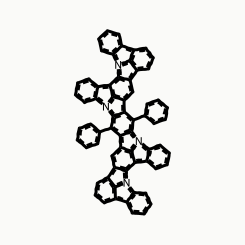 c1ccc(-c2c3c4cc5c6cccc7c8ccccc8n(c76)c5c5c6ccccc6n(c3c(-c3ccccc3)c3c6cc7c8cccc9c%10ccccc%10n(c98)c7c7c8ccccc8n(c23)c67)c45)cc1